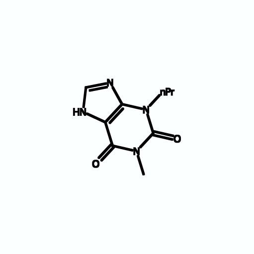 CCCn1c(=O)n(C)c(=O)c2[nH]cnc21